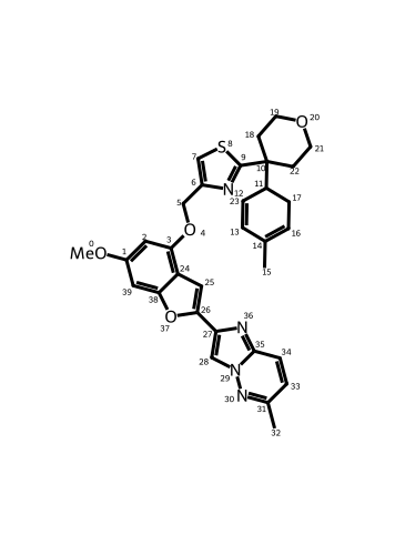 COc1cc(OCc2csc(C3(C4C=CC(C)=CC4)CCOCC3)n2)c2cc(-c3cn4nc(C)ccc4n3)oc2c1